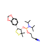 CC(C)N(C(C)C)P(OCCC#N)O[C@H]1[C@@H](c2ccc3c(c2)OCO3)SSC1(C)C